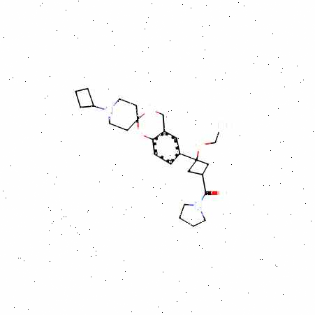 CCOC1(c2ccc3c(c2)COC2(CCN(C4CCC4)CC2)O3)CC(C(=O)N2CCCC2)C1